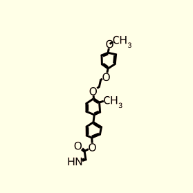 COc1ccc(OCCOc2ccc(-c3ccc(OC(=O)C=N)cc3)cc2C)cc1